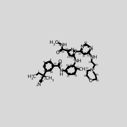 CCC(C)(C#N)c1cccc(C(=O)Nc2ccc(C)c(Nc3cc(C(=O)NC)nn3-c3cc(NCCN4CCOCC4)ncn3)c2)c1